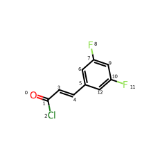 O=C(Cl)C=Cc1cc(F)cc(F)c1